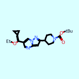 CCOC(=C1CC1)c1cnc2cc(C3CCN(C(=O)OC(C)(C)C)CC3)nn2c1